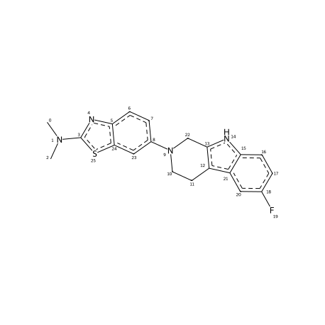 CN(C)c1nc2ccc(N3CCc4c([nH]c5ccc(F)cc45)C3)cc2s1